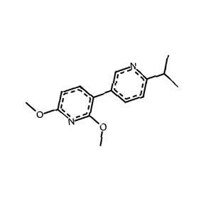 COc1ccc(-c2ccc(C(C)C)nc2)c(OC)n1